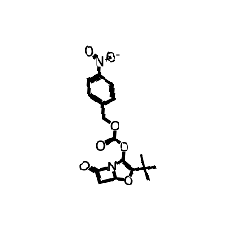 CC(C)(C)C1=C(OC(=O)OCc2ccc([N+](=O)[O-])cc2)N2C(=O)CC2O1